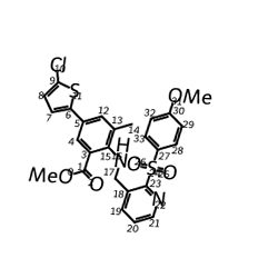 COC(=O)c1cc(-c2ccc(Cl)s2)cc(C)c1NCc1cccnc1S(=O)(=O)c1ccc(OC)cc1